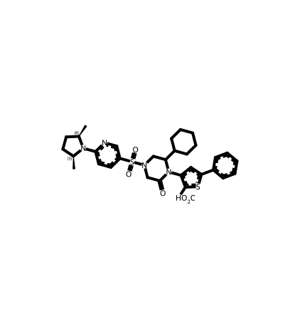 C[C@@H]1CC[C@H](C)N1c1ccc(S(=O)(=O)N2CC(=O)N(c3cc(-c4ccccc4)sc3C(=O)O)C(C3CCCCC3)C2)cn1